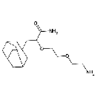 NCCOCCOC(CC12CC3CC(CC(C3)C1)C2)C(N)=O